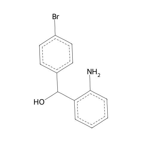 Nc1ccccc1C(O)c1ccc(Br)cc1